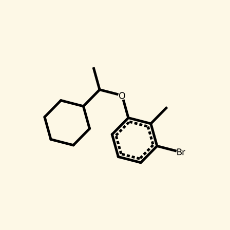 Cc1c(Br)cccc1OC(C)C1CCCCC1